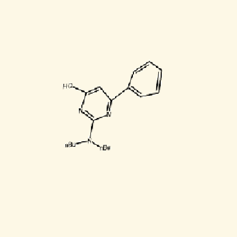 CCCCN(CCCC)c1nc(O)cc(-c2ccccc2)n1